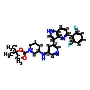 CC(C)(C)OC(=O)N1CCCC(Nc2cncc(-c3c[nH]c4ccc(-c5c(F)cccc5F)nc34)c2)C1